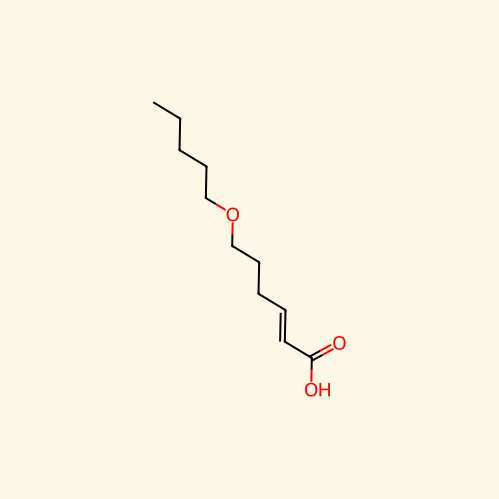 CCCCCOCCCC=CC(=O)O